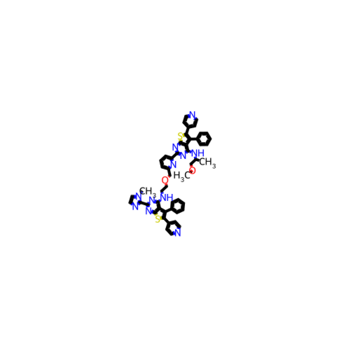 COCC(C)Nc1nc(-c2cccc(COCCNc3nc(-c4nccn4C)nc4sc(-c5ccncc5)c(-c5ccccc5)c34)n2)nc2sc(-c3ccncc3)c(-c3ccccc3)c12